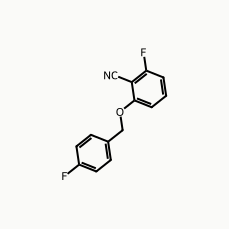 N#Cc1c(F)cccc1OCc1ccc(F)cc1